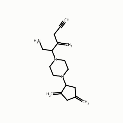 C#CCC(=C)C(CN)N1CCN(C2CC(=C)CC2=C)CC1